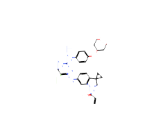 C=CC(=O)N1CC2(CC2)c2ccc(Nc3nc(Nc4ccc(OC5CCOCC5)cc4)ncc3F)cc21